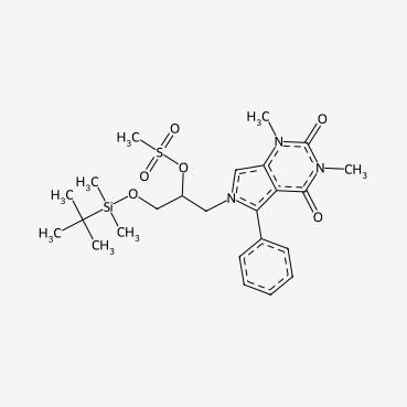 Cn1c(=O)c2c(-c3ccccc3)n(CC(CO[Si](C)(C)C(C)(C)C)OS(C)(=O)=O)cc2n(C)c1=O